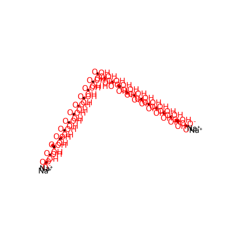 O=C(O)O.O=C(O)O.O=C(O)O.O=C(O)O.O=C(O)O.O=C(O)O.O=C(O)O.O=C(O)O.O=C(O)O.O=C(O)O.O=C(O)O.O=C(O)O.O=C(O)O.O=C(O)O.O=C(O)O.O=C(O)O.O=C(O)O.O=C(O)O.O=C(O)O.O=C(O)O.O=C(O)O.O=C(O)O.O=C([O-])[O-].O=C([O-])[O-].[Na+].[Na+].[Na+].[Na+]